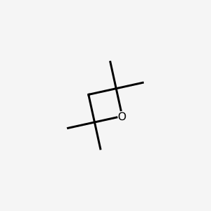 CC1(C)CC(C)(C)O1